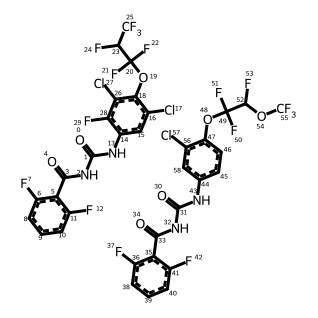 O=C(NC(=O)c1c(F)cccc1F)Nc1cc(Cl)c(OC(F)(F)C(F)C(F)(F)F)c(Cl)c1F.O=C(NC(=O)c1c(F)cccc1F)Nc1ccc(OC(F)(F)C(F)OC(F)(F)F)c(Cl)c1